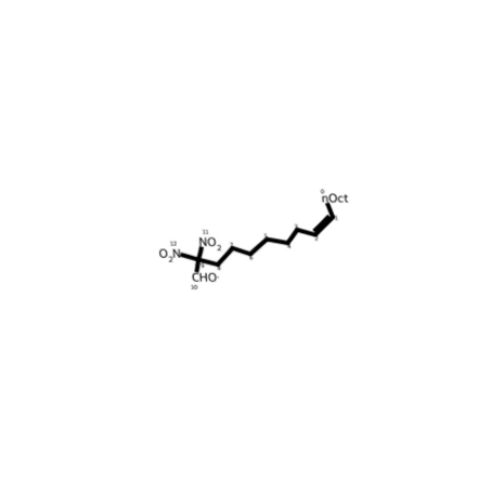 CCCCCCCC/C=C\CCCCCCC([C]=O)([N+](=O)[O-])[N+](=O)[O-]